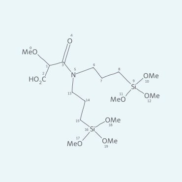 COC(C(=O)O)C(=O)N(CCC[Si](OC)(OC)OC)CCC[Si](OC)(OC)OC